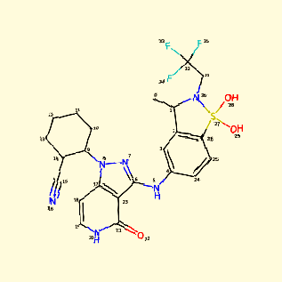 CC1c2cc(Nc3nn(C4CCCCC4C#N)c4cc[nH]c(=O)c34)ccc2S(O)(O)N1CC(F)(F)F